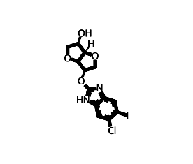 O[C@@H]1COC2[C@H](Oc3nc4cc(I)c(Cl)cc4[nH]3)CO[C@@H]21